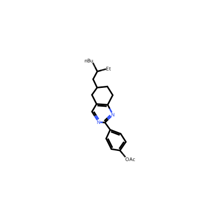 CCCCC(CC)CC1CCc2nc(-c3ccc(OC(C)=O)cc3)ncc2C1